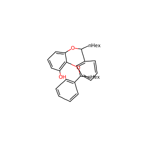 CCCCCCC(Oc1cccc(O)c1OC(CCCCCC)c1ccccc1)c1ccccc1